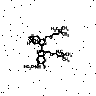 C[C@@]12Cc3c(c(-c4nc5cc(NC(=O)O)c(F)nc5n4COCC[Si](C)(C)C)nn3COCC[Si](C)(C)C)C[C@@H]1C2